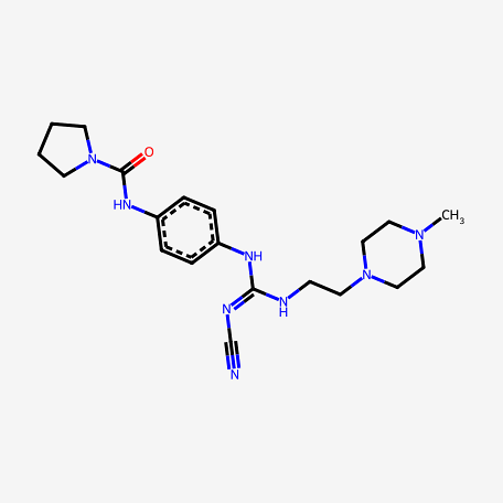 CN1CCN(CCN/C(=N\C#N)Nc2ccc(NC(=O)N3CCCC3)cc2)CC1